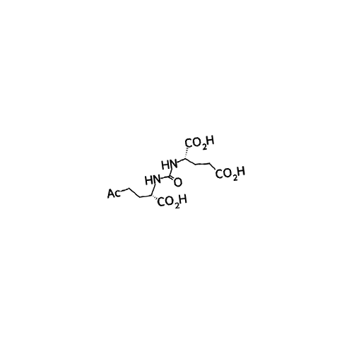 CC(=O)CC[C@H](NC(=O)N[C@@H](CCC(=O)O)C(=O)O)C(=O)O